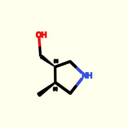 C[C@@H]1CNC[C@H]1CO